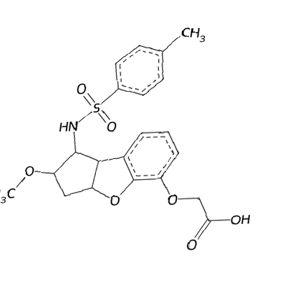 COC1CC2Oc3c(OCC(=O)O)cccc3C2C1NS(=O)(=O)c1ccc(C)cc1